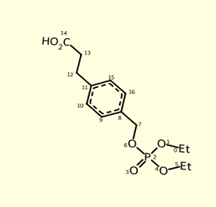 CCOP(=O)(OCC)OCc1ccc(CCC(=O)O)cc1